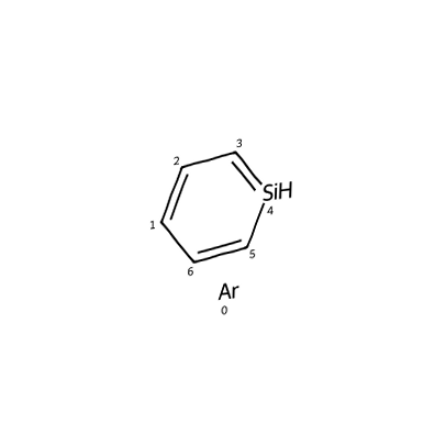 [Ar].c1cc[siH]cc1